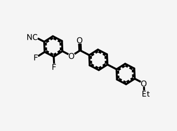 CCOc1ccc(-c2ccc(C(=O)Oc3ccc(C#N)c(F)c3F)cc2)cc1